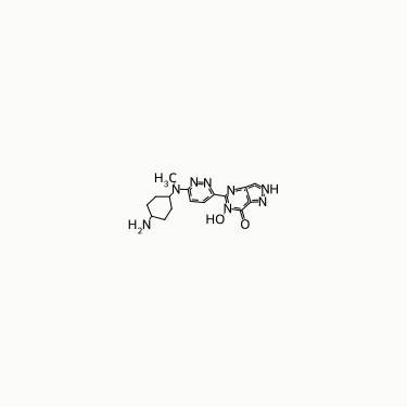 CN(c1ccc(-c2nc3c[nH]nc3c(=O)n2O)nn1)C1CCC(N)CC1